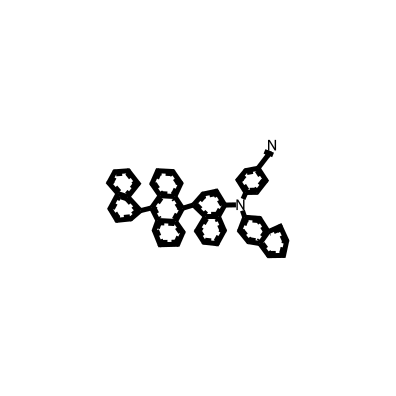 N#Cc1ccc(N(c2ccc3ccccc3c2)c2ccc(-c3c4ccccc4c(-c4cccc5ccccc45)c4ccccc34)c3ccccc23)cc1